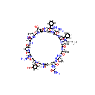 CCCC[C@H]1C(=O)N(C)[C@@H](CCCC)C(=O)N[C@@H](CC(C)C)C(=O)N[C@H](C(=O)NCC(N)=O)CSCC(=O)N[C@@H](Cc2ccc(O)cc2)C(=O)N(C)[C@@H](C)C(=O)N[C@@H](CC(N)=O)C(=O)N2CCC[C@H]2C(=O)N[C@@H](CN)C(=O)N[C@@H](CC(C)C)C(=O)N2C[C@H](O)C[C@H]2C(=O)N[C@@H](Cc2c[nH]c3ccccc23)C(=O)N[C@@H](CCN)C(=O)N[C@@H](Cc2nn(CC(=O)O)c3ccccc23)C(=O)N1C